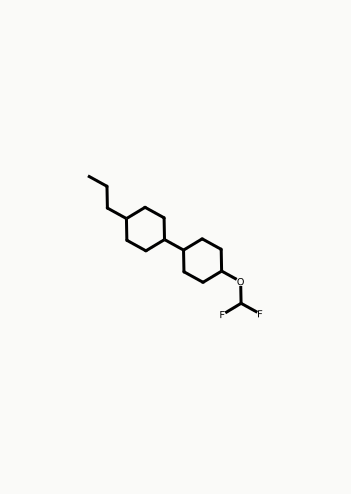 CCCC1CCC(C2CCC(OC(F)F)CC2)CC1